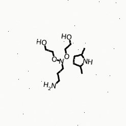 CC1CCC(C)N1.NCCCN(OCCO)OCCO